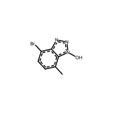 Cc1ccc(Br)c2nnn(O)c12